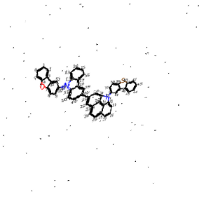 c1ccc2c(c1)oc1ccc(-n3c4ccccc4c4cc(-c5cc6ccc7cccc8c7c6c(c5)n8-c5ccc6sc7ccccc7c6c5)ccc43)cc12